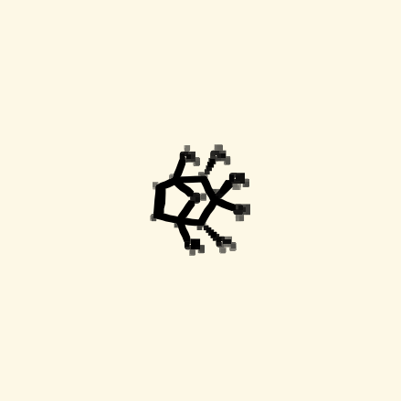 C[C@@H]1C2(C)C=CC(C)(O2)[C@H](C)[C@]1(C)O